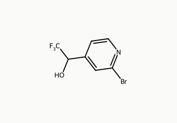 OC(c1ccnc(Br)c1)C(F)(F)F